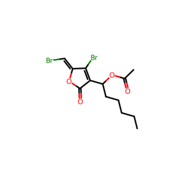 CCCCCC(OC(C)=O)C1=C(Br)/C(=C/Br)OC1=O